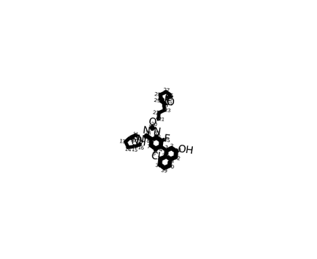 Oc1cc(-c2c(Cl)cc3c(N4CC5CCC(C4)N5)nc(OCCCN4CC5CCC4CO5)nc3c2F)c2ccccc2c1